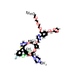 COCCOCCOCCOCc1cc(OC[C@H]2COCCO2)ccc1-c1nccc(COc2ccc3cc2C[C@H](C(=O)O)Oc2ncnc4sc(-c5ccc(F)cc5)c(c24)-c2c(C)c(Cl)c(c(Cl)c2C)O[C@H](CN2CCN(C)CC2)CO3)n1